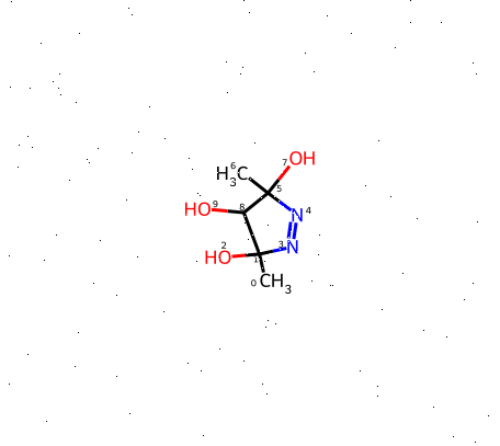 CC1(O)N=NC(C)(O)C1O